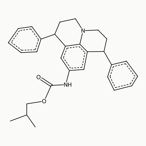 CC(C)COC(=O)Nc1cc2c3c(c1)C(c1ccccc1)CCN3CCC2c1ccccc1